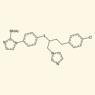 CC(=O)Nc1nccn1-c1ccc(SC(CCc2ccc(Cl)cc2)Cn2ccnc2)cc1